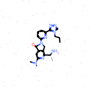 CCCn1cnnc1-c1cccc(N2Cc3c(cc(N(C)C)nc3[C@@H](C)N)C2=O)n1